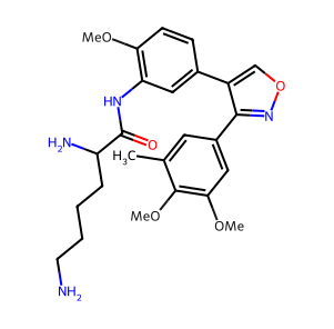 COc1ccc(-c2conc2-c2cc(C)c(OC)c(OC)c2)cc1NC(=O)C(N)CCCCN